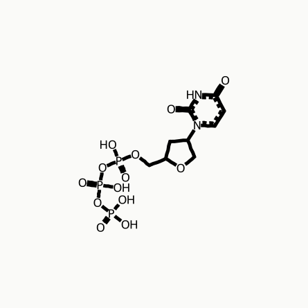 O=c1ccn(C2COC(COP(=O)(O)OP(=O)(O)OP(=O)(O)O)C2)c(=O)[nH]1